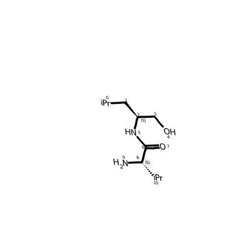 CC(C)C[C@@H](CO)NC(=O)[C@@H](N)C(C)C